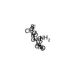 CC(C)(C)OC(=O)N(CCC(=O)NCCCn1c(=O)c2nn(C3CCCCO3)cc2c2ccc(C(N)=O)cc21)Cc1ccc(OC(F)(F)F)c(Cl)c1